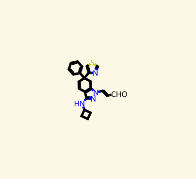 O=CC=Cn1nc(NC2CCC2)c2c1CC(c1ccccc1)(c1cscn1)C=C2